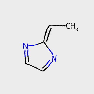 CC=C1N=CC=N1